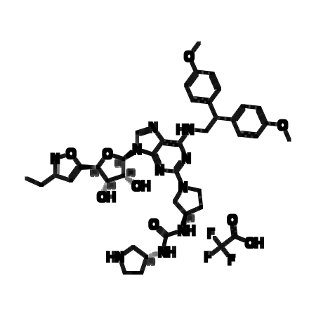 CCc1cc([C@H]2O[C@@H](n3cnc4c(NCC(c5ccc(OC)cc5)c5ccc(OC)cc5)nc(N5CC[C@@H](NC(=O)N[C@@H]6CCNC6)C5)nc43)[C@H](O)[C@@H]2O)on1.O=C(O)C(F)(F)F